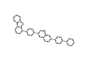 c1ccc(-c2ccc(-c3ccc4cc(-c5ccc(-c6cccc7c6sc6ccccc67)cc5)cnc4c3)cc2)cc1